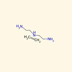 C=C.NCCNCCN